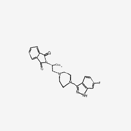 CC(CN1CCN(c2n[nH]c3cc(F)ccc23)CC1)N1C(=O)c2ccccc2C1=O